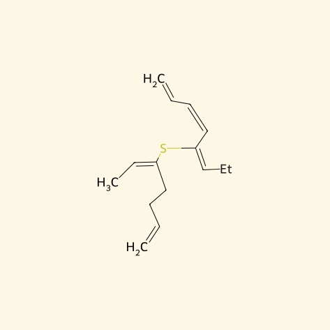 C=C/C=C\C(=C/CC)S/C(=C/C)CCC=C